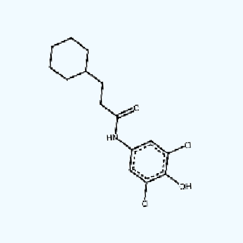 O=C(CCC1CCCCC1)Nc1cc(Cl)c(O)c(Cl)c1